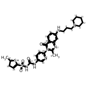 Cc1nc2cc(NCCCN3CCCCC3)ccc2c(=O)n1-c1ccc(NC(=O)NS(=O)(=O)C2=CCC(C)S2)cn1